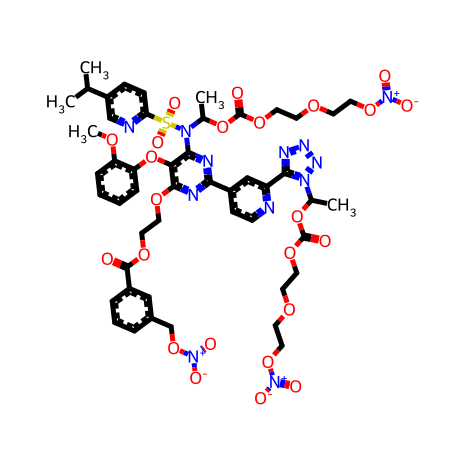 COc1ccccc1Oc1c(OCCOC(=O)c2cccc(CO[N+](=O)[O-])c2)nc(-c2ccnc(-c3nnnn3C(C)OC(=O)OCCOCCO[N+](=O)[O-])c2)nc1N(C(C)OC(=O)OCCOCCO[N+](=O)[O-])S(=O)(=O)c1ccc(C(C)C)cn1